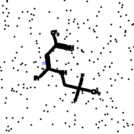 CC(C)/C(=C/C(=N)C(F)(F)F)NCC(C)(F)F